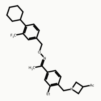 CCc1cc(/C(C)=N/OCc2ccc(C3CCCCC3)c(C(F)(F)F)c2)ccc1CN1CC(C(C)=O)C1